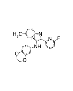 Cc1ccc2nc(-c3cccc(F)n3)c(Nc3ccc4c(c3)OCCO4)n2c1